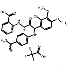 COc1ccc(C(Nc2ccc(C(=N)N)cc2)C(=O)NNc2ncccc2C(=O)O)c(Cl)c1OC.O=C(O)C(F)(F)F